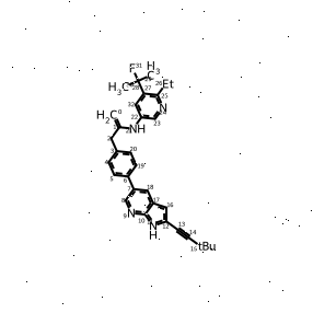 C=C(Cc1ccc(-c2cnc3[nH]c(C#CC(C)(C)C)cc3c2)cc1)Nc1cnc(CC)c(C(C)(C)F)c1